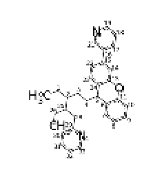 CCC(CCC1c2ccccc2Oc2cc(-c3cccnc3)ccc21)C(CC)Cc1ccccn1